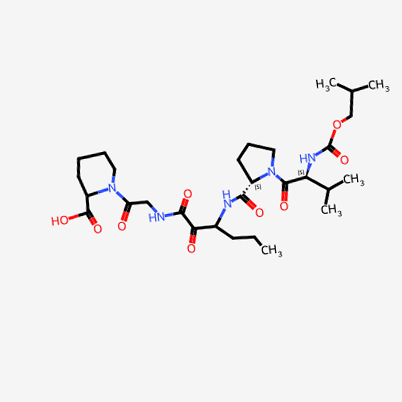 CCCC(NC(=O)[C@@H]1CCCN1C(=O)[C@@H](NC(=O)OCC(C)C)C(C)C)C(=O)C(=O)NCC(=O)N1CCCCC1C(=O)O